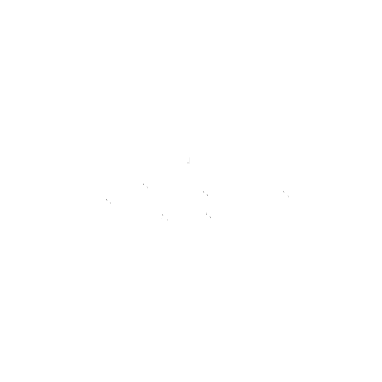 Cn1c([N+](=O)[O-])cnc1C(S)n1cc(C#N)cn1